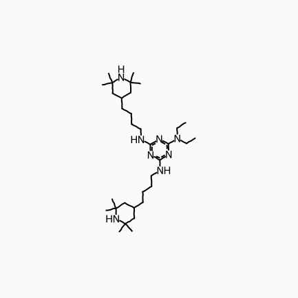 CCN(CC)c1nc(NCCCCC2CC(C)(C)NC(C)(C)C2)nc(NCCCCC2CC(C)(C)NC(C)(C)C2)n1